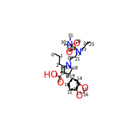 CCC[C@@H]1[C@@H](C(=O)O)[C@@H](c2ccc3c(c2)OCO3)CN1CCN(CCC)S(=O)(=O)N(C)C